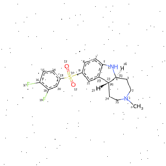 CN1CC[C@@H]2Nc3ccc(S(=O)(=O)c4ccc(F)c(F)c4)cc3[C@H]2CC1